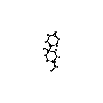 CSN1CCC(C)(N2CCOCC2)CC1